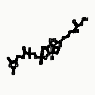 CCN1C(=O)N(OS(=O)(=O)OCC(C)(C)C(=O)OCc2oc(=O)oc2C)[C@@H]2CC[C@@]21C(=O)NOCCNC(=O)OC(C)(C)C